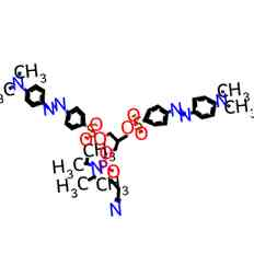 CC(C)N(C(C)C)P(OCCC#N)OCC(COS(=O)(=O)c1ccc(/N=N/c2ccc(N(C)C)cc2)cc1)COS(=O)(=O)c1ccc(/N=N/c2ccc(N(C)C)cc2)cc1